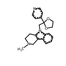 CN1CCc2c(c3ccccc3n2CC2(c3ccncc3)OCCO2)C1